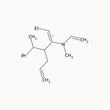 C=CCC(/C(=C\CC)N(C)C=C)C(C)C(C)C